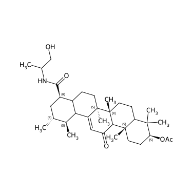 CC(=O)O[C@H]1CC[C@@]2(C)C(CC[C@]3(C)C2C(=O)C=C2C4C(CC[C@]23C)[C@H](C(=O)NC(C)CO)C[C@@H](C)[C@@H]4C)C1(C)C